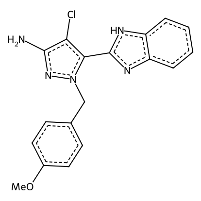 COc1ccc(Cn2nc(N)c(Cl)c2-c2nc3ccccc3[nH]2)cc1